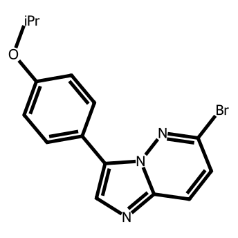 CC(C)Oc1ccc(-c2cnc3ccc(Br)nn23)cc1